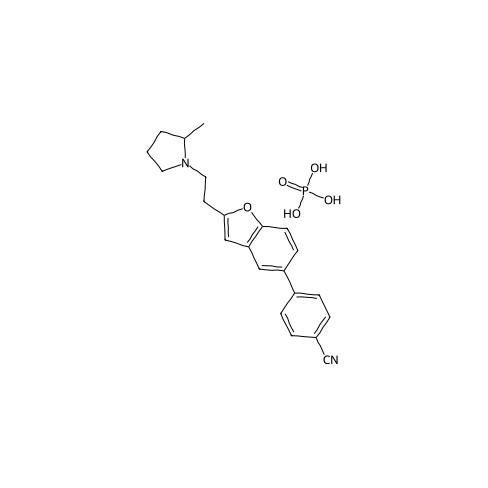 CC1CCCN1CCc1cc2cc(-c3ccc(C#N)cc3)ccc2o1.O=P(O)(O)O